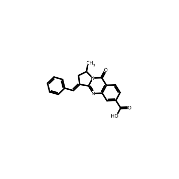 CC1CC(=Cc2ccccc2)c2nc3cc(C(=O)O)ccc3c(=O)n21